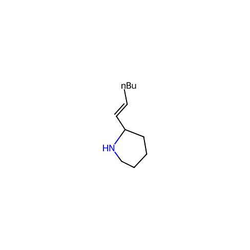 [CH2]CCCC=CC1CCCCN1